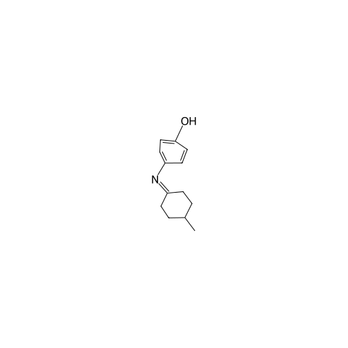 CC1CCC(=Nc2ccc(O)cc2)CC1